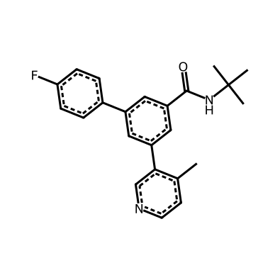 Cc1ccncc1-c1cc(C(=O)NC(C)(C)C)cc(-c2ccc(F)cc2)c1